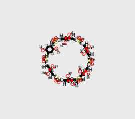 COC1C[C@@H]2CS(=O)(=O)C[C@@H]3CC(OC)[C@@H](CC3OC)S(=O)(=O)C[C@H]3CC(OC)[C@H](CC3OC)CS(=O)(=O)C[C@@H]3CC(OC)[C@@H](CC3OC)S(=O)(=O)[C@@H]3CC(OC)[C@@H](CC3OC)CS(=O)(=O)C[C@H]3CC(OC)[C@H](CC3OC)CS(=O)(=O)C[C@H]1CC2OC